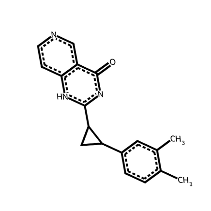 Cc1ccc(C2CC2c2nc(=O)c3cnccc3[nH]2)cc1C